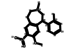 COc1cc2c(cc1[N+](=O)[O-])CCN(C)CC2c1ccccc1C